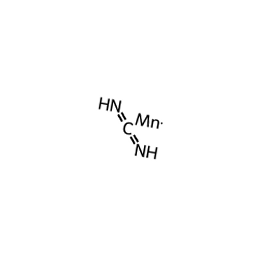 N=C=N.[Mn]